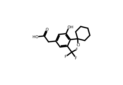 O=C(O)Cc1cc(O)c(C2(Cl)CCCCC2)c(C(F)(F)F)c1